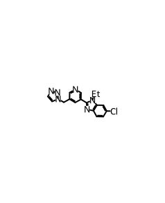 CCn1c(-c2cncc(Cn3ccnn3)c2)nc2ccc(Cl)cc21